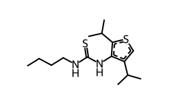 CCCCNC(=S)Nc1c(C(C)C)csc1C(C)C